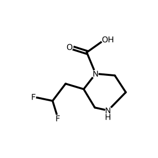 O=C(O)N1CCNCC1CC(F)F